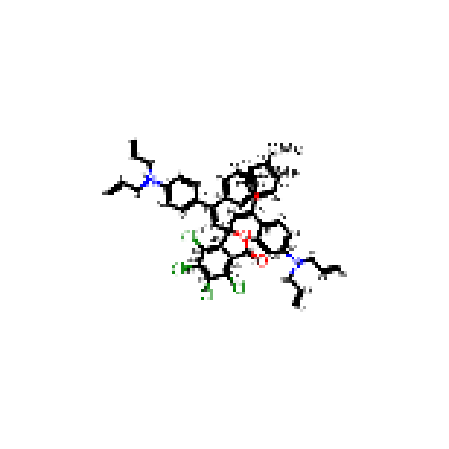 C=CCN(CC=C)c1ccc(C(=CC2(C=C(c3ccc(OC)cc3)c3ccc(N(CC=C)CC=C)cc3)OC(=O)c3c(Cl)c(Cl)c(Cl)c(Cl)c32)c2ccc(OC)cc2)cc1